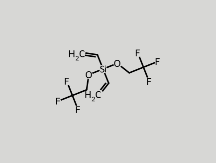 C=C[Si](C=C)(OCC(F)(F)F)OCC(F)(F)F